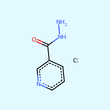 NNC(=O)c1cccnc1.[C]